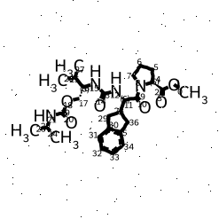 COC(=O)[C@@H]1CCCN1C(=O)[C@@H](NC(=O)N[C@H](COC(=O)NC(C)C)C(C)C)C1Cc2ccccc2C1